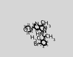 Cc1c(Br)cccc1C(C)Nc1nnc(C)c2ncc(N3CCOCC3)cc12